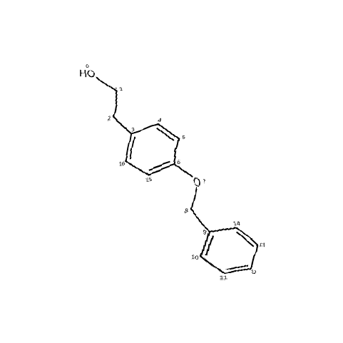 O[CH]Cc1ccc(OCc2ccccc2)cc1